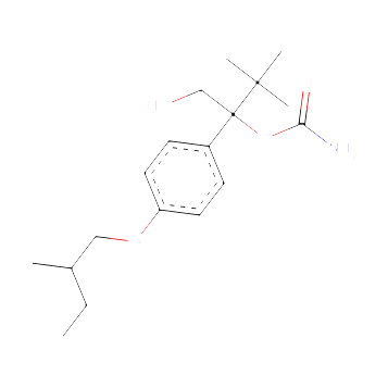 CCC(C)COc1ccc(C(CO)(OC(N)=O)C(C)(C)C)cc1